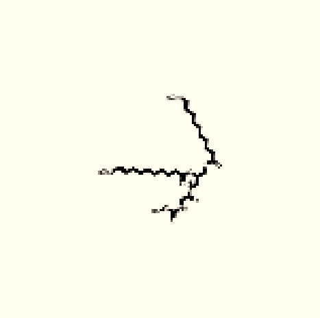 CCCCCCCCC=CCCCCCCCC(=O)OCC(CNC(=O)CNC(=O)OC(C)(C)C)OC(=O)CCCCCCCC=CCCCCCCCC